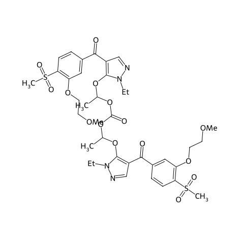 CCn1ncc(C(=O)c2ccc(S(C)(=O)=O)c(OCCOC)c2)c1OC(C)OC(=O)OC(C)Oc1c(C(=O)c2ccc(S(C)(=O)=O)c(OCCOC)c2)cnn1CC